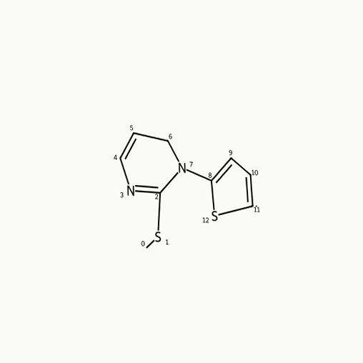 CSC1=NC=CCN1c1cc[c]s1